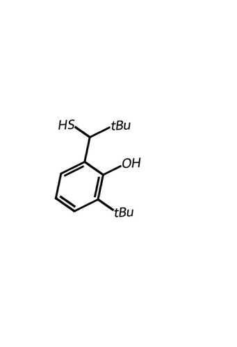 CC(C)(C)c1cccc(C(S)C(C)(C)C)c1O